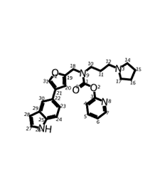 O=C(Oc1ccccn1)N(CCCN1CCCC1)Cc1cc(-c2ccc3[nH]ccc3c2)co1